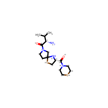 CC(C)[C@H](N)C(=O)N1CCC2(C1)N[C@H](C(=O)N1CCSCC1)CS2